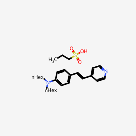 CCCCCCN(CCCCCC)c1ccc(/C=C/c2ccncc2)cc1.CCCS(=O)(=O)O